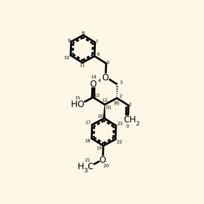 C=C[C@@H](COCc1ccccc1)[C@H](C(=O)O)c1ccc(OC)cc1